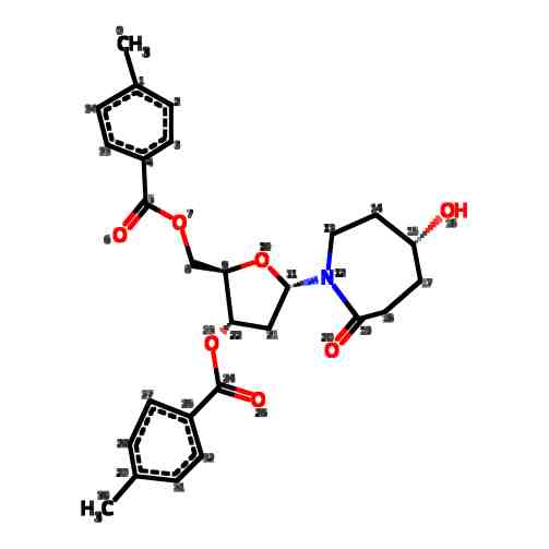 Cc1ccc(C(=O)OC[C@H]2O[C@H](N3CC[C@H](O)CCC3=O)C[C@@H]2OC(=O)c2ccc(C)cc2)cc1